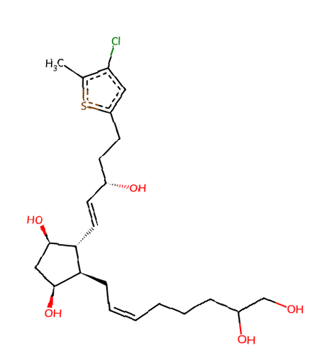 Cc1sc(CC[C@H](O)C=C[C@@H]2[C@@H](C/C=C\CCCC(O)CO)[C@@H](O)C[C@H]2O)cc1Cl